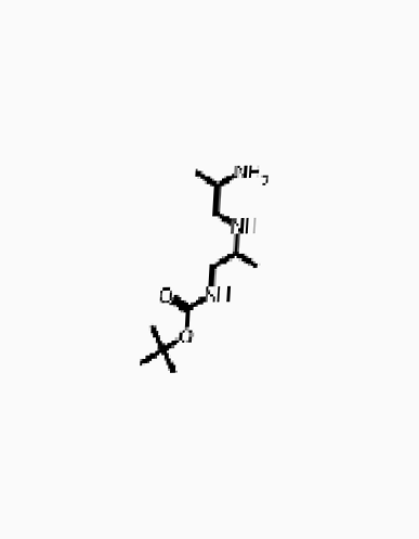 CC(N)CNC(C)CNC(=O)OC(C)(C)C